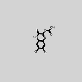 O=C(O)Oc1nc2cc(Cl)c(Cl)cc2[nH]c1=O